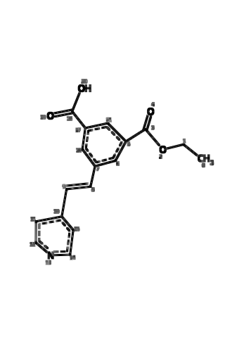 CCOC(=O)c1cc(C=Cc2ccncc2)cc(C(=O)O)c1